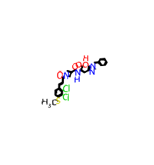 CSc1ccc(C=CC(=O)N2CC(C(=O)NC(Cc3cn(Cc4ccccc4)cn3)C(=O)O)C2)c(Cl)c1Cl